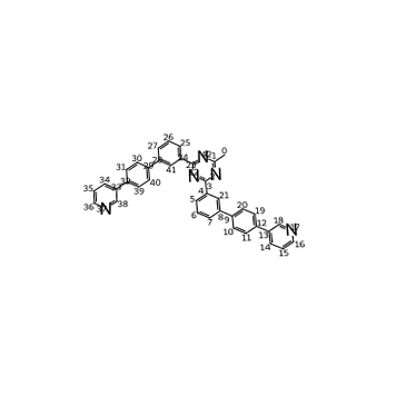 Cc1nc(-c2cccc(-c3ccc(-c4cccnc4)cc3)c2)nc(-c2cccc(-c3ccc(-c4cccnc4)cc3)c2)n1